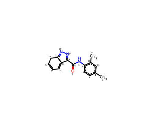 Cc1ccc(NC(=O)C2=NN=C3CC=CC=C32)c(C)c1